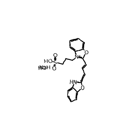 O=S(=O)(O)CCC[n+]1c(C=CC=C2Nc3ccccc3O2)oc2ccccc21.[NaH].[OH-]